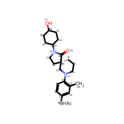 CC(=O)Nc1ccc(N2CCC[C@@]3(CCN(C4CCC(O)CC4)C3=O)C2)c(C)c1